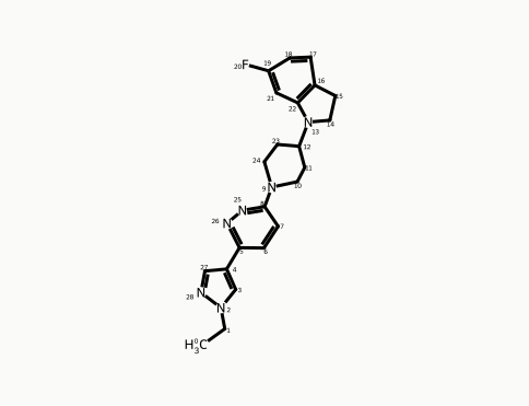 CCn1cc(-c2ccc(N3CCC(N4CCc5ccc(F)cc54)CC3)nn2)cn1